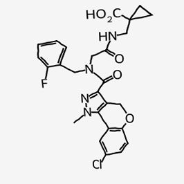 Cn1nc(C(=O)N(CC(=O)NCC2(C(=O)O)CC2)Cc2ccccc2F)c2c1-c1cc(Cl)ccc1OC2